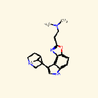 CN(C)CCc1nc2c(ccc3[nH]cc(C4CN5CCC4CC5)c32)o1